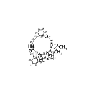 CCC(C)[C@@H]1NCCOc2ccccc2CCCNC(=O)[C@@H](Cc2ccccc2)NC(=O)C([C@H](C)O)N(C)C1=O